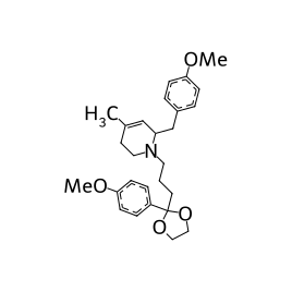 COc1ccc(CC2C=C(C)CCN2CCCC2(c3ccc(OC)cc3)OCCO2)cc1